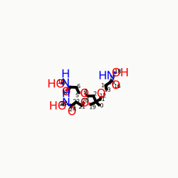 CC(CCOCCC(=O)NO)(COCCC(=O)NO)COCCC(=O)NO